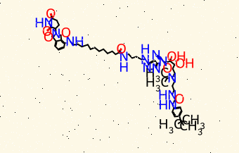 CC(C)N(CCCNC(=O)Nc1ccc(C(C)(C)C)cc1)CC1OC(n2cnc3c(NCCCCNC(=O)CCCCCCCCCCCNc4cccc5c4C(=O)N(C4CCC(=O)NC4=O)C5=O)ncnc32)C(O)C1O